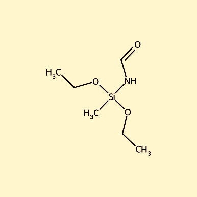 CCO[Si](C)(NC=O)OCC